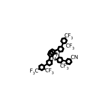 N#Cc1cccc(-c2cc(-n3c4ccccc4c4cc(-c5ccc(C(F)(F)F)cc5C(F)(F)F)ccc43)c(-n3c4ccccc4c4cc(-c5ccc(C(F)(F)F)cc5C(F)(F)F)ccc43)cc2C(F)(F)F)c1